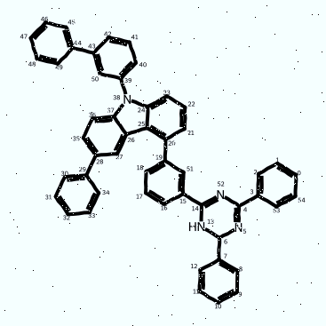 c1ccc(C2=NC(c3ccccc3)NC(c3cccc(-c4cccc5c4c4cc(-c6ccccc6)ccc4n5-c4cccc(-c5ccccc5)c4)c3)=N2)cc1